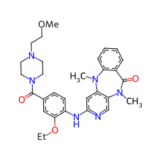 CCOc1cc(C(=O)N2CCN(CCOC)CC2)ccc1Nc1cc2c(cn1)N(C)C(=O)c1ccccc1N2C